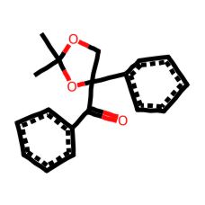 CC1(C)OCC(C(=O)c2ccccc2)(c2ccccc2)O1